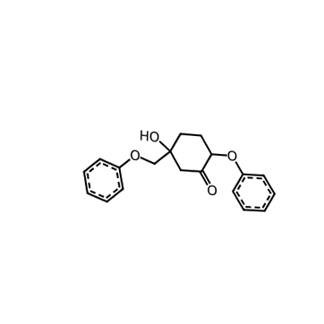 O=C1CC(O)(COc2ccccc2)CCC1Oc1ccccc1